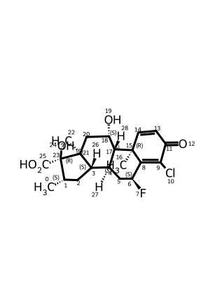 C[C@H]1C[C@H]2[C@@H]3C[C@H](F)C4=C(Cl)C(=O)C=C[C@]4(C)[C@H]3[C@@H](O)C[C@]2(C)[C@@]1(O)C(=O)O